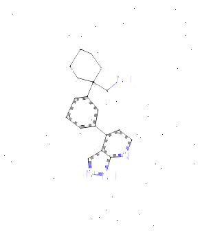 NCC1(c2cccc(-c3ccnc4[nH]ncc34)c2)CCCCC1